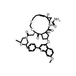 COc1ccc2c(O[C@H]3CC4C(=O)[C@@H](CC(=O)N5CC(C)OC(C)C5)CCCCC/C=C\[C@@H]5C[C@@]5(C(N)=O)NC(=O)[C@@H]4C3)cc(-c3ccccc3)nc2c1